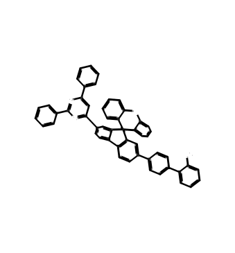 N#Cc1ccccc1-c1ccc(-c2ccc3c(c2)C2(c4ccccc4Oc4ccccc42)c2cc(-c4cc(-c5ccccc5)nc(-c5ccccc5)n4)ccc2-3)cc1